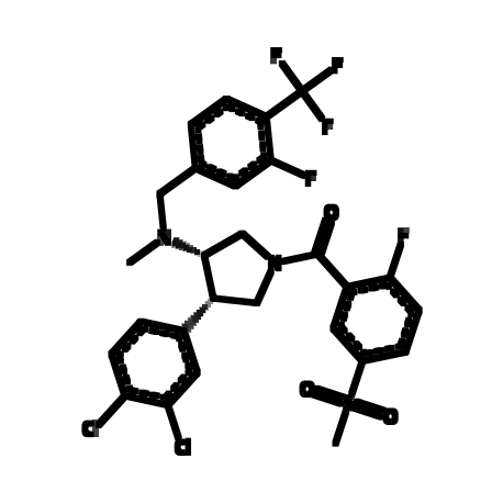 CN(Cc1ccc(C(F)(F)F)c(F)c1)[C@@H]1CN(C(=O)c2cc(S(C)(=O)=O)ccc2F)C[C@@H]1c1ccc(Cl)c(Cl)c1